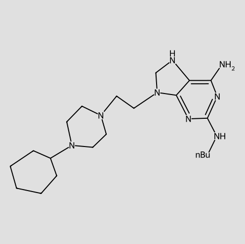 CCCCNc1nc(N)c2c(n1)N(CCN1CCN(C3CCCCC3)CC1)CN2